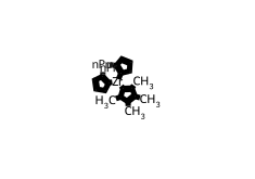 CCCC1=[C]([Zr]([C]2=C(CCC)C=CC2)[C]2=C(C)C(C)=C(C)C2C)CC=C1